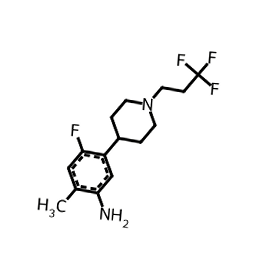 Cc1cc(F)c(C2CCN(CCC(F)(F)F)CC2)cc1N